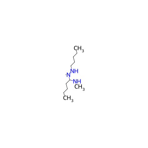 CCCCCN[N]C(CCCC)NC